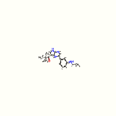 CCNc1cccc(-c2cnc3[nH]cc(C(=O)C(C)(C)C)c3n2)c1